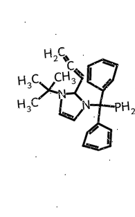 C=C=CC1N(C(C)(C)C)C=CN1C(P)(c1ccccc1)c1ccccc1